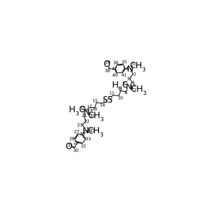 CN(CCC[N+](C)(C)CCCCSSCCCC[N+](C)(C)CCCN(C)c1ccc(C=O)cc1)c1ccc(C=O)cc1